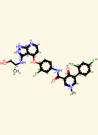 CC(C)n1cc(C(=O)Nc2ccc(Oc3ccnc4[nH]nc(N[C@H](C)CO)c34)c(F)c2)c(=O)c(-c2ccc(F)cc2F)c1